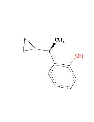 C[C@@H](c1ccccc1O)C1CC1